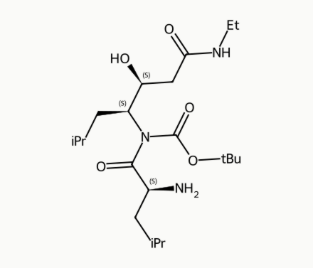 CCNC(=O)C[C@H](O)[C@H](CC(C)C)N(C(=O)OC(C)(C)C)C(=O)[C@@H](N)CC(C)C